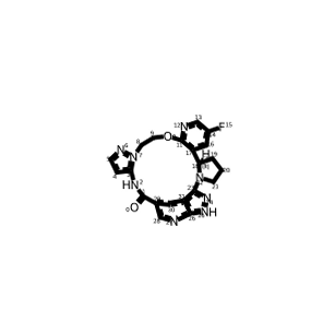 O=C1Nc2ccnn2CCOc2ncc(F)cc2[C@H]2CCCN2c2n[nH]c3ncc1cc23